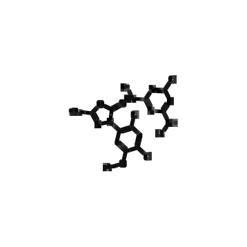 CC(C)Oc1cc(-n2nc(C(C)(C)C)oc2=O)c(Cl)cc1Cl.CCNc1nc(Cl)nc(NCC)n1